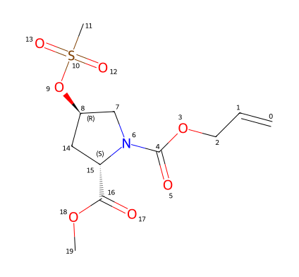 C=CCOC(=O)N1C[C@H](OS(C)(=O)=O)C[C@H]1C(=O)OC